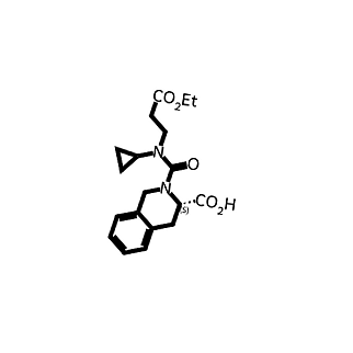 CCOC(=O)CCN(C(=O)N1Cc2ccccc2C[C@H]1C(=O)O)C1CC1